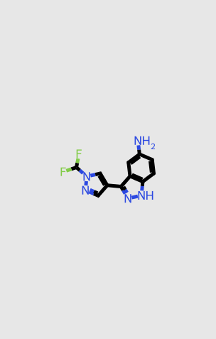 Nc1ccc2[nH]nc(-c3cnn(C(F)F)c3)c2c1